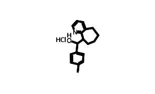 Cc1ccc(C(O)C2CCCCc3cccnc32)cc1.Cl